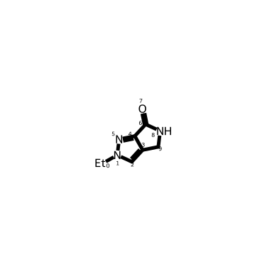 CCn1cc2c(n1)C(=O)NC2